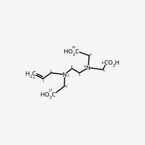 C=CCN(CCN(CC(=O)O)CC(=O)O)CC(=O)O